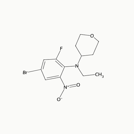 CCN(c1c(F)cc(Br)cc1[N+](=O)[O-])C1CCOCC1